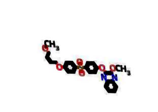 COC/C=C\COc1ccc(S(=O)(=O)c2ccc(Oc3nc4ccccc4nc3OC)cc2)cc1